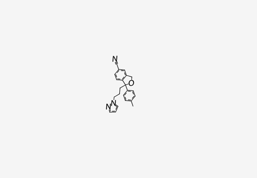 Cc1ccc(C2(CCCn3cccn3)OCc3cc(C#N)ccc32)cc1